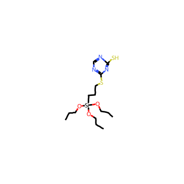 CCCO[Si](CCCSc1ncnc(S)n1)(OCCC)OCCC